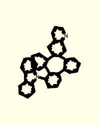 c1ccc2c(c1)-c1cc3ncccc3cc1-c1ccccc1-c1c-2cccc1-n1c2ccccc2c2ccccc21